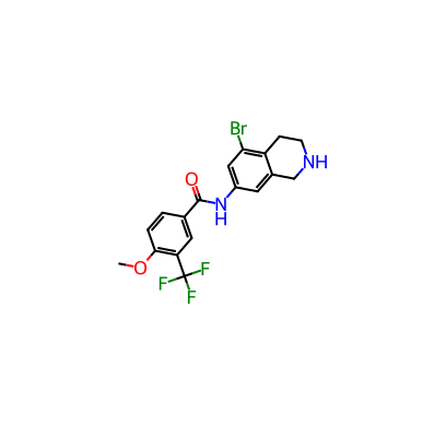 COc1ccc(C(=O)Nc2cc(Br)c3c(c2)CNCC3)cc1C(F)(F)F